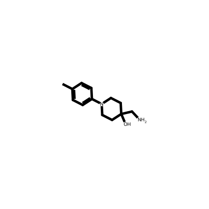 Cc1ccc(N2CCC(O)(CN)CC2)cc1